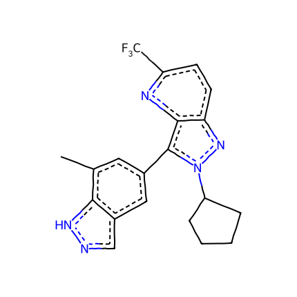 Cc1cc(-c2c3nc(C(F)(F)F)ccc3nn2C2CCCC2)cc2cn[nH]c12